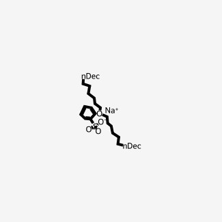 CCCCCCCCCCCCCCCCOCCCCCCCCCCCCCCCC.O=S(=O)([O-])c1ccccc1.[Na+]